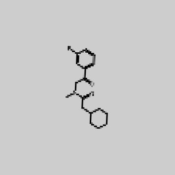 CN(CC(=O)c1cccc(F)c1)C(=O)CC1CCCCC1